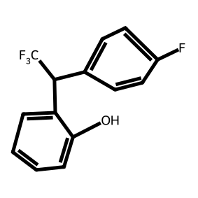 Oc1ccccc1C(c1ccc(F)cc1)C(F)(F)F